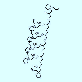 C=CC[N+]1(CC(O)COCC(COCC(COCC(COCC(COCC(O)C[N+]2(CC=C)CCCC2)OCC(O)C[N+]2(CC=C)CCCC2)OCC(O)C[N+]2(CC=C)CCCC2)OCC(O)C[N+]2(CC=C)CCCC2)OCC(O)C[N+]2(CC=C)CCCC2)CCCC1